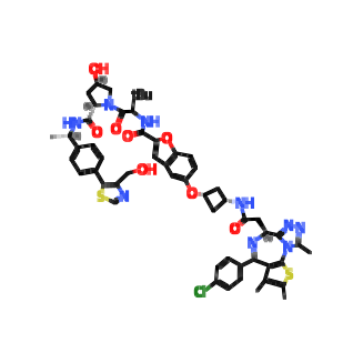 Cc1sc2c(c1C)C(c1ccc(Cl)cc1)=N[C@@H](CC(=O)N[C@H]1C[C@@H](Oc3ccc4oc(C(=O)NC(C(=O)N5C[C@H](O)C[C@H]5C(=O)N[C@@H](C)c5ccc(-c6scnc6CO)cc5)C(C)(C)C)cc4c3)C1)c1nnc(C)n1-2